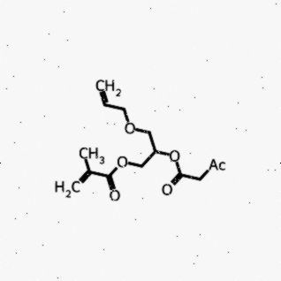 C=CCOCC(COC(=O)C(=C)C)OC(=O)CC(C)=O